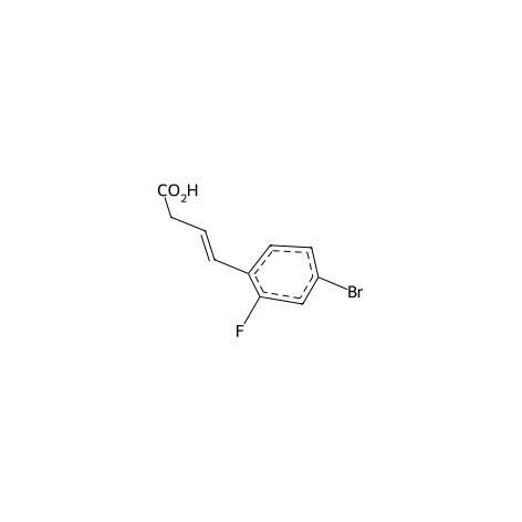 O=C(O)CC=Cc1ccc(Br)cc1F